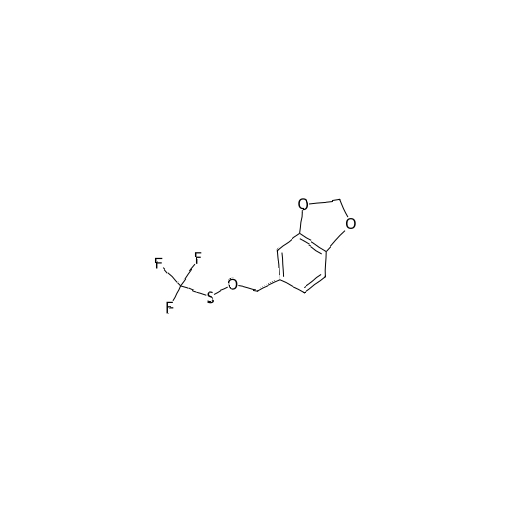 FC(F)(F)SOCc1ccc2c(c1)OCO2